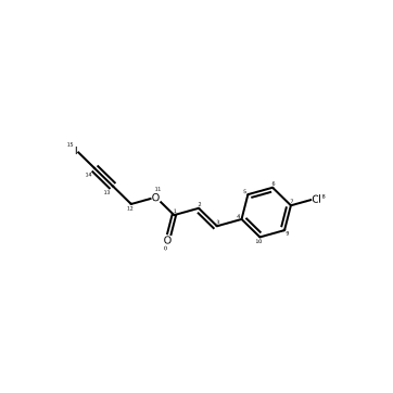 O=C(C=Cc1ccc(Cl)cc1)OCC#CI